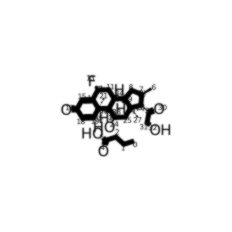 CCCC(=O)O.C[C@@H]1C[C@H]2[C@@H]3C[C@H](F)C4=CC(=O)C=C[C@]4(C)[C@H]3[C@@H](O)C[C@]2(C)[C@H]1C(=O)CO